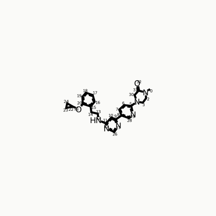 CN1CCN(c2ccc(-c3cc(NCCc4ccccc4OC4CC4)ncn3)cn2)CC1=O